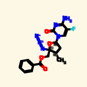 C[C@H]1C[C@H](n2cc(F)c(N)nc2=O)O[C@@]1(COC(=O)c1ccccc1)N=[N+]=[N-]